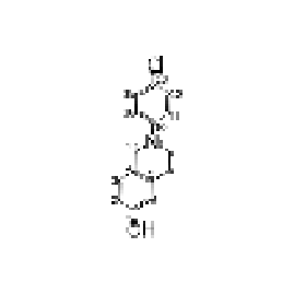 Oc1ccc2c(c1)CCN(c1ccc(Cl)cc1)C2